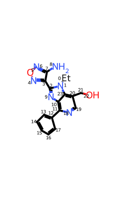 CCn1c(-c2nonc2N)nc2c(-c3ccccc3)ncc(CO)c21